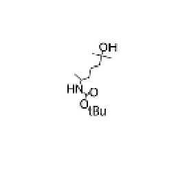 CC(CCCC(C)(C)O)NC(=O)OC(C)(C)C